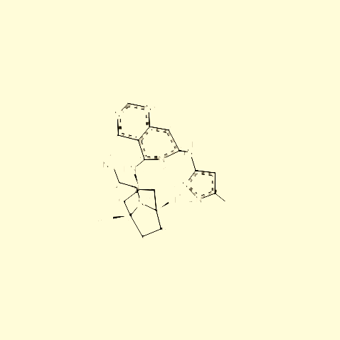 Cc1cc(Nc2cc3ncncc3c(N[C@@H]3C[C@H]4CC[C@@H](C3)N4CCC#N)n2)n[nH]1